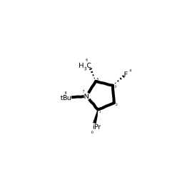 CC(C)[C@@H]1C[C@@H](F)[C@@H](C)N1C(C)(C)C